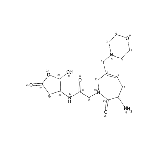 NC1CC=C(CN2CCOCC2)CN(CC(=O)NC2CC(=O)OC2O)C1=O